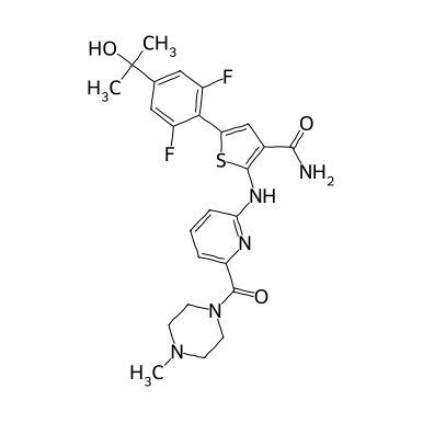 CN1CCN(C(=O)c2cccc(Nc3sc(-c4c(F)cc(C(C)(C)O)cc4F)cc3C(N)=O)n2)CC1